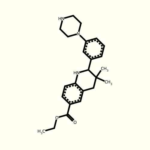 CCOC(=O)c1ccc2c(c1)CC(C)(C)C(c1cccc(N3CCNCC3)c1)N2